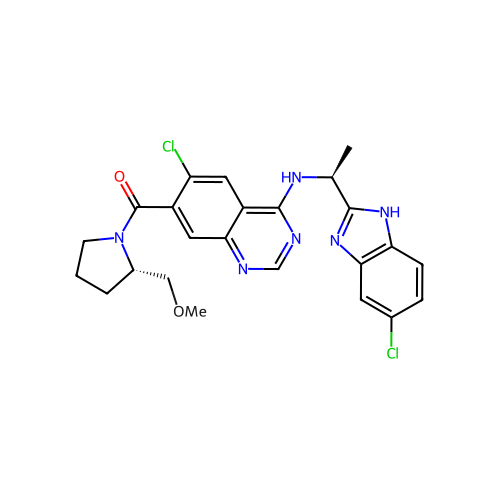 COC[C@@H]1CCCN1C(=O)c1cc2ncnc(N[C@@H](C)c3nc4cc(Cl)ccc4[nH]3)c2cc1Cl